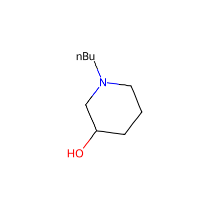 CCCCN1CCCC(O)C1